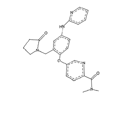 CN(C)C(=O)c1ccc(Oc2ccc(Nc3ccccn3)cc2CN2CCCC2=O)cn1